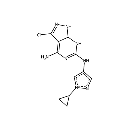 NC1=C2C(Cl)=NNC2NC(Nc2cnn(C3CC3)c2)=N1